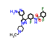 CCN1CCC(n2cc(-c3ccnc(N)c3)c(-c3cccc(NS(=O)(=O)c4cc(F)ccc4F)c3F)n2)CC1